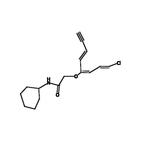 C#C/C=C/C(=C\C=C\Cl)OCC(=O)NC1CCCCC1